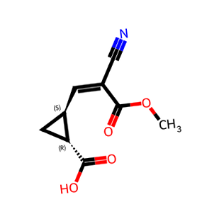 COC(=O)C(C#N)=C[C@@H]1C[C@H]1C(=O)O